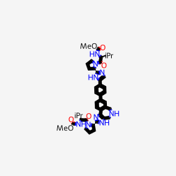 COC(=O)N[C@H](C(=O)N1CCC[C@H]1c1ncc(-c2ccc(-c3ccc4c(c3)CNCc3[nH]c([C@@H]5CCCN5C(=O)[C@@H](NC(=O)OC)C(C)C)nc3-4)cc2)[nH]1)C(C)C